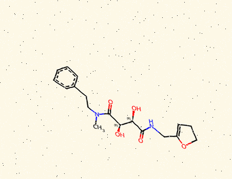 CN(CCc1ccccc1)C(=O)[C@H](O)[C@@H](O)C(=O)NCC1=CCCO1